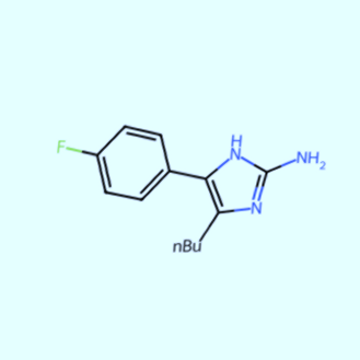 CCCCc1nc(N)[nH]c1-c1ccc(F)cc1